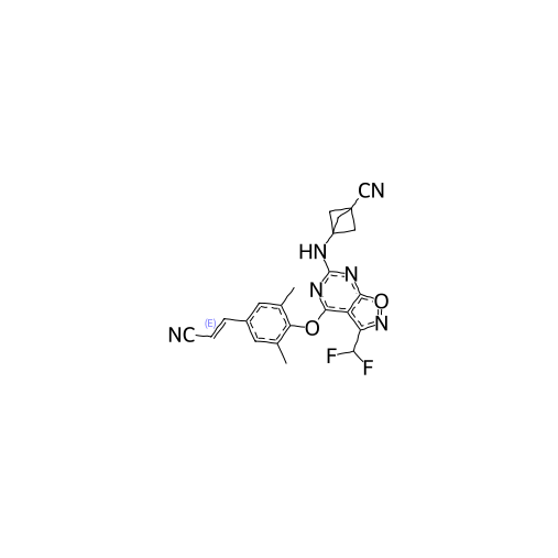 Cc1cc(/C=C/C#N)cc(C)c1Oc1nc(NC23CC(C#N)(C2)C3)nc2onc(C(F)F)c12